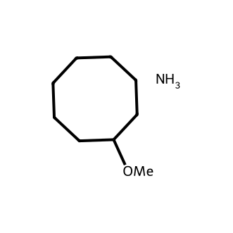 COC1CCCCCCC1.N